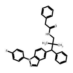 CC(C)(CNC(=O)Cc1ccccc1)C(c1ccccc1)c1ccc2c(cnn2-c2ccc(F)cc2)c1